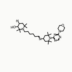 CC1(C)CC(N=CCCCCCN2C(C)(C)CC([N])C(O)C2(C)C)CC(C)(C)N1c1n[c]nc(N2CCOCC2)n1